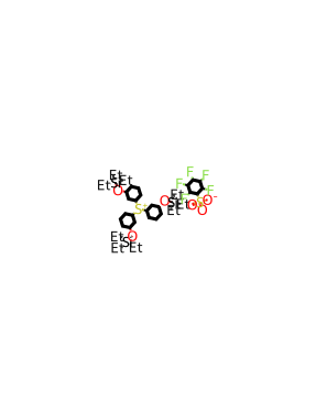 CC[Si](CC)(CC)Oc1cccc([S+](c2cccc(O[Si](CC)(CC)CC)c2)c2cccc(O[Si](CC)(CC)CC)c2)c1.O=S(=O)([O-])c1c(F)c(F)c(F)c(F)c1F